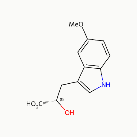 COc1ccc2[nH]cc(C[C@H](O)C(=O)O)c2c1